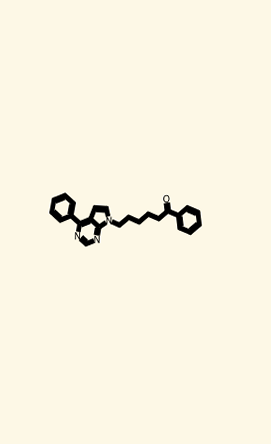 O=C(CCCCCn1ccc2c(-c3ccccc3)ncnc21)c1ccccc1